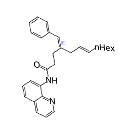 CCCCCCC=CC/C(=C/c1ccccc1)CCC(=O)Nc1cccc2cccnc12